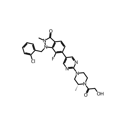 C[C@@H]1CN(c2ncc(-c3ccc4c(=O)n(C)n(Cc5ccccc5Cl)c4c3F)cn2)CCN1C(=O)CO